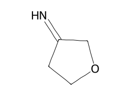 N=C1CCOC1